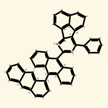 c1ccc(-c2nc(-c3c4ccccc4c(-c4cccc5cc6ccccc6cc45)c4ccccc34)nc3c2-c2cccc4cccc-3c24)cc1